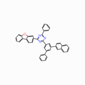 c1ccc(-c2cc(-c3ccc4ccccc4c3)cc(-c3nc(-c4ccccc4)nc(-c4ccc5c(c4)oc4ccccc45)n3)c2)cc1